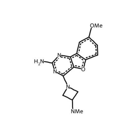 CNC1CN(c2nc(N)nc3c2oc2ccc(OC)cc23)C1